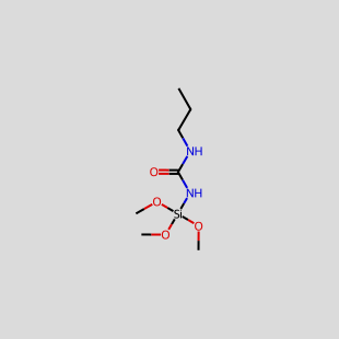 CCCNC(=O)N[Si](OC)(OC)OC